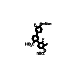 CCCCCCCCCOc1ccc(-c2ccc(C(=O)O)c(-c3ccc(OCCCCCCCC)c(F)c3F)c2)cc1F